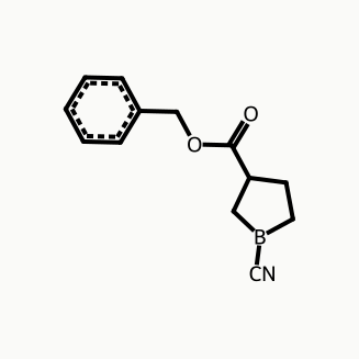 N#CB1CCC(C(=O)OCc2ccccc2)C1